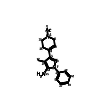 CC(=O)N1CC=C(c2nn(-c3ccccc3)c(N)c2C)CC1